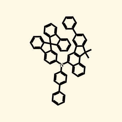 CC1(C)c2ccc(-c3ccccc3)cc2-c2cc(N(c3ccc(-c4ccccc4)cc3)c3ccc4c(c3)C3(c5ccccc5-c5ccccc53)c3ccccc3-4)c3ccccc3c21